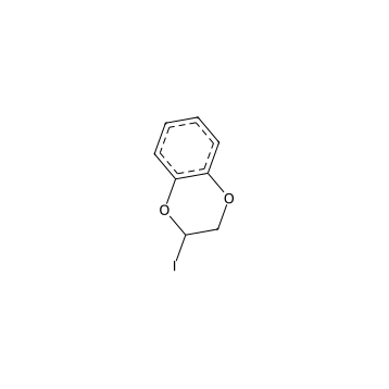 IC1COc2ccccc2O1